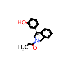 C=CC(=O)N1Cc2ccccc2[C@@H](c2cccc(O)c2)C1